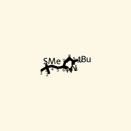 CSC(C)(C)CCc1ccc(C(C)(C)C)nn1